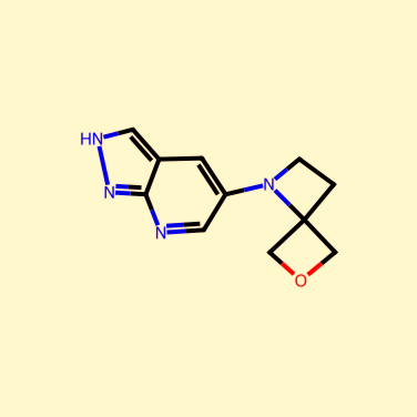 c1nc2n[nH]cc2cc1N1CCC12COC2